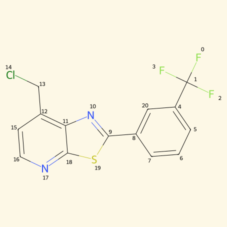 FC(F)(F)c1cccc(-c2nc3c(CCl)ccnc3s2)c1